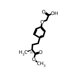 COC(=O)[C@@H](C)CCc1ccc(OCC(=O)O)cc1